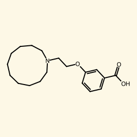 O=C(O)c1cccc(OCCN2CCCCCCCCCC2)c1